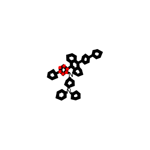 c1ccc(-c2ccc(-c3c4ccccc4c(-c4ccc(-c5ccccc5)cc4)c4c(N(c5ccccc5)c5ccc(N(c6ccccc6)c6ccccc6)cc5)cccc34)cc2)cc1